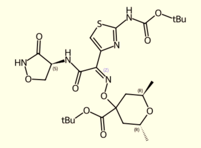 C[C@@H]1CC(O/N=C(\C(=O)N[C@H]2CONC2=O)c2csc(NC(=O)OC(C)(C)C)n2)(C(=O)OC(C)(C)C)C[C@@H](C)O1